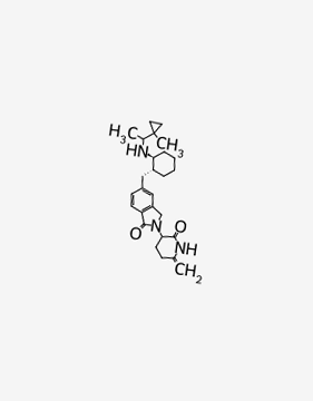 C=C1CCC(N2Cc3cc(C[C@H]4CCCC[C@@H]4NC(C)C4(C)CC4)ccc3C2=O)C(=O)N1